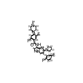 O=C(Nc1cnn2ccc(N3CCC[C@@H]3c3cc(F)ccc3F)nc12)c1cc(F)c(N2CCN(I)CC2)cc1F